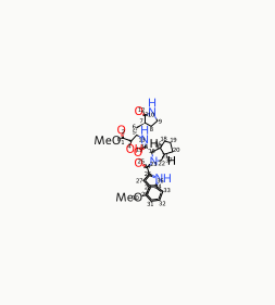 COC(=O)C(O)[C@H](C[C@@H]1CCNC1=O)NC(=O)[C@@H]1[C@H]2CCC[C@H]2CN1C(=O)c1cc2c(OC)cccc2[nH]1